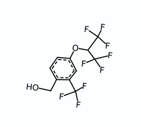 OCc1ccc(OC(C(F)(F)F)C(F)(F)F)cc1C(F)(F)F